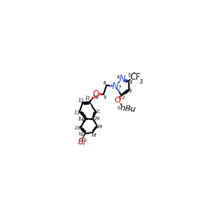 CCCCOc1cc(C(F)(F)F)nn1CCOc1ccc2cc(Br)ccc2c1